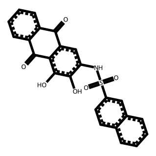 O=C1c2ccccc2C(=O)c2c1cc(NS(=O)(=O)c1ccc3ccccc3c1)c(O)c2O